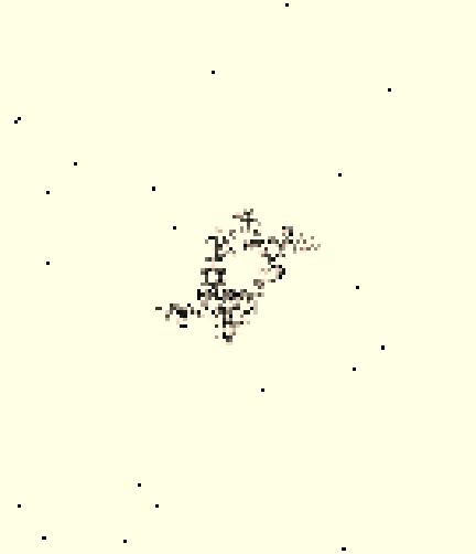 CC(C)(C)CCC(=O)N1CN(C(=O)CCSCC(=O)N[C@H](Cc2ccccc2)C(=O)N[C@@H](CCCNC(N)=O)C(=O)Nc2ccc(COC(=O)C(C)(C)C)cc2)CN(C(=O)CCC(C)(C)C)C1